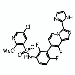 COc1ncc(Cl)cc1S(=O)(=O)Nc1ccc(F)c(-c2ccn3c(-c4ncc[nH]4)ncc3c2F)c1F